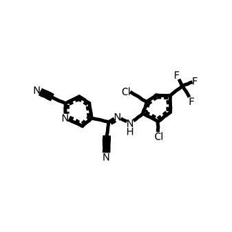 N#CC(=NNc1c(Cl)cc(C(F)(F)F)cc1Cl)c1ccc(C#N)nc1